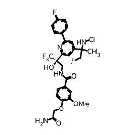 COc1cc(C(=O)NC[C@@](O)(c2cc(C(C)(CF)NCl)cc(-c3ccc(F)cc3)n2)C(F)(F)F)ccc1OCC(N)=O